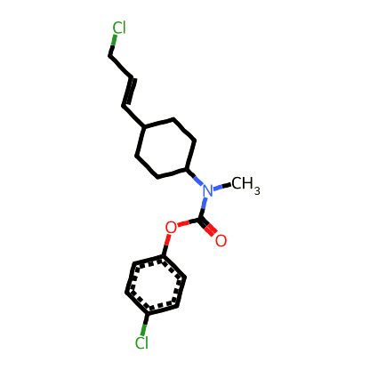 CN(C(=O)Oc1ccc(Cl)cc1)C1CCC(C=CCCl)CC1